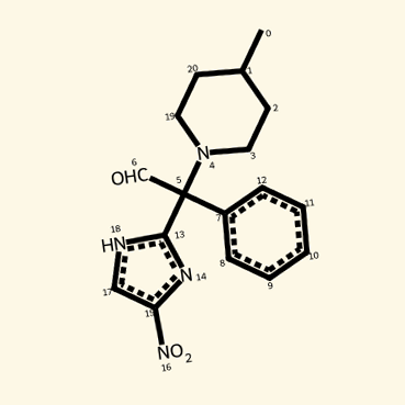 CC1CCN(C(C=O)(c2ccccc2)c2nc([N+](=O)[O-])c[nH]2)CC1